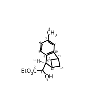 CCOC(=O)C(O)[C@H]1c2ccc(C)cc2C2CC1C2